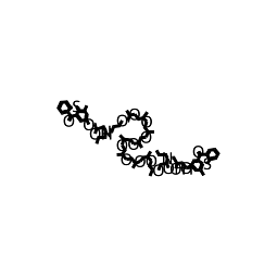 CCCN(CCCOCC(C)OCC(C)OCC(C)OCC(C)OCC(C)OCC(C)OCC(C)OCC(C)OCC(C)OCC(O)N(CCC)CC(O)COc1cc(C)c2sc3ccccc3c(=O)c2c1)CC(O)COc1cc(C)c2sc3ccccc3c(=O)c2c1